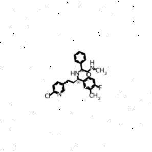 CNC(=O)[C@@H](N[C@H](CCc1ccc(Cl)nc1)c1ccc(F)c(C)c1)c1ccccc1